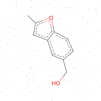 Cc1cc2cc(CO)ccc2o1